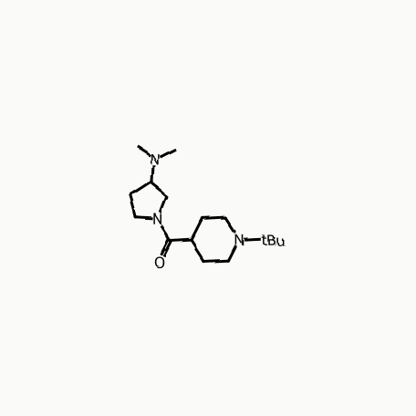 CN(C)C1CCN(C(=O)C2CCN(C(C)(C)C)CC2)C1